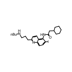 CCCCNCCCc1ccc2c(NC(=O)CC3CCCCC3)c(I)ccc2n1